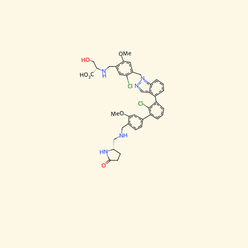 COc1cc(-c2cccc(-c3cccc4c3cnn4Cc3cc(OC)c(CN[C@@H](CO)C(=O)O)cc3Cl)c2Cl)ccc1CNC[C@@H]1CCC(=O)N1